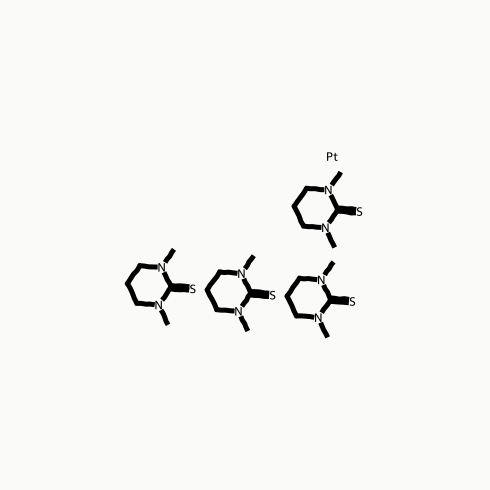 CN1CCCN(C)C1=S.CN1CCCN(C)C1=S.CN1CCCN(C)C1=S.CN1CCCN(C)C1=S.[Pt]